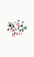 COc1c([C@H]2[C@@H](C(=O)O)O[C@@](C)(C(F)(F)F)[C@H]2C)ccc(F)c1C